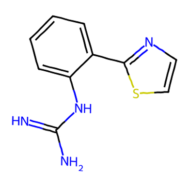 N=C(N)Nc1ccccc1-c1nccs1